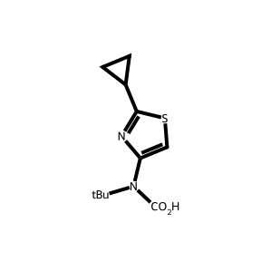 CC(C)(C)N(C(=O)O)c1csc(C2CC2)n1